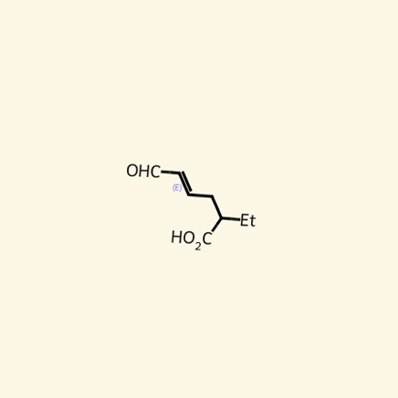 CCC(C/C=C/C=O)C(=O)O